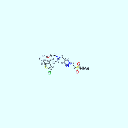 CNS(=O)(=O)CCn1cc(CN2CCC3(CC2)OCC(C)(C)c2sc(Cl)cc23)cn1